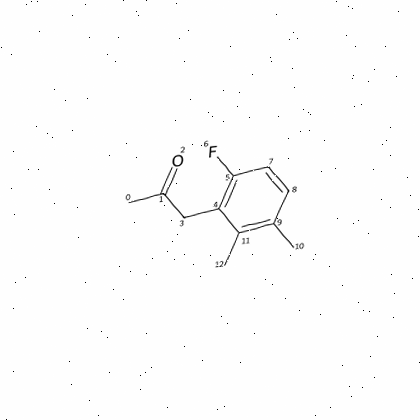 CC(=O)Cc1c(F)ccc(C)c1C